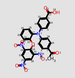 CC(=O)c1ccc(N(c2ccc(C(=O)O)cc2)c2ccccc2Oc2c(N=O)cc([N+](=O)[O-])cc2[N+](=O)[O-])cc1